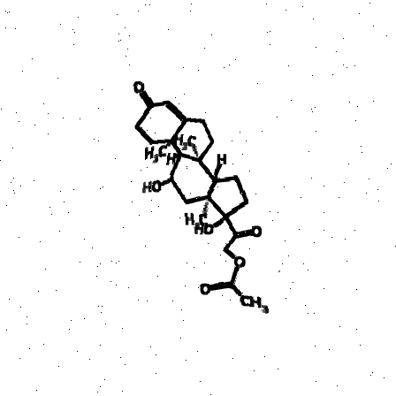 CC(=O)OCC(=O)[C@@]1(O)CC[C@H]2[C@]3(C)CCC4=CC(=O)CC[C@]4(C)[C@H]3C(O)C[C@@]21C